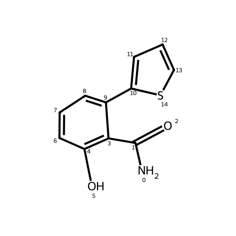 NC(=O)c1c(O)cccc1-c1cccs1